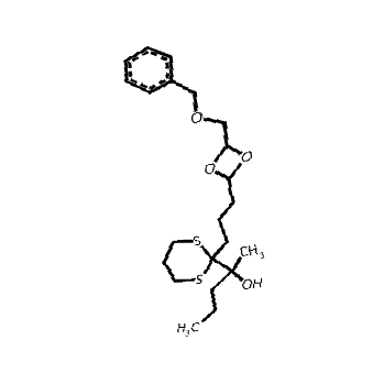 CCCC(C)(O)C1(CCCC2OC(COCc3ccccc3)O2)SCCCS1